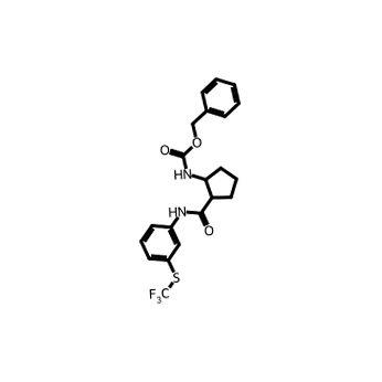 O=C(NC1CCCC1C(=O)Nc1cccc(SC(F)(F)F)c1)OCc1ccccc1